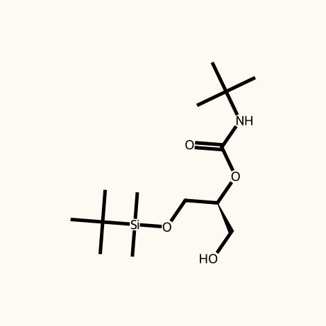 CC(C)(C)NC(=O)O[C@@H](CO)CO[Si](C)(C)C(C)(C)C